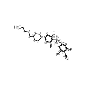 CCCCC[C@H]1CC[C@H](c2cc(F)c(C(F)(F)Oc3cc(F)c(C#N)c(F)c3)c(F)c2)CC1